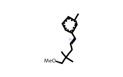 COCC(C)(C)C/C=C/c1cccc(C)c1